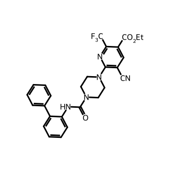 CCOC(=O)c1cc(C#N)c(N2CCN(C(=O)Nc3ccccc3-c3ccccc3)CC2)nc1C(F)(F)F